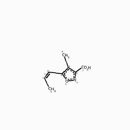 C/C=C\c1onc(C(=O)O)c1C